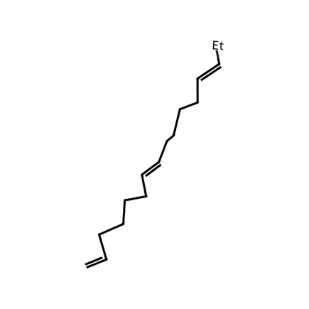 C=CCCCCC=CCCCCC=CCC